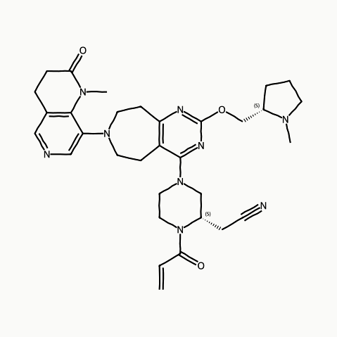 C=CC(=O)N1CCN(c2nc(OC[C@@H]3CCCN3C)nc3c2CCN(c2cncc4c2N(C)C(=O)CC4)CC3)C[C@@H]1CC#N